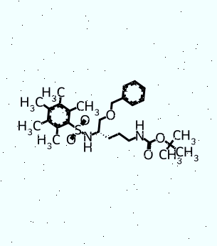 Cc1c(C)c(C)c(S(=O)(=O)N[C@@H](CCCNC(=O)OC(C)(C)C)COCc2ccccc2)c(C)c1C